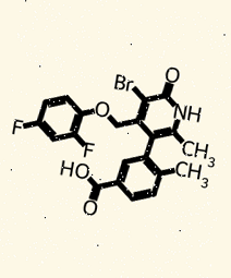 Cc1ccc(C(=O)O)cc1-c1c(C)[nH]c(=O)c(Br)c1COc1ccc(F)cc1F